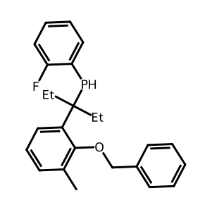 CCC(CC)(Pc1ccccc1F)c1cccc(C)c1OCc1ccccc1